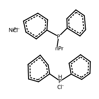 CCCP(c1ccccc1)c1ccccc1.[Cl-].[Cl-].[Ni+2].c1ccc(Pc2ccccc2)cc1